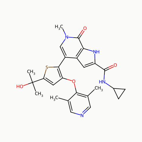 Cc1cncc(C)c1Oc1cc(C(C)(C)O)sc1-c1cn(C)c(=O)c2[nH]c(C(=O)NC3CC3)cc12